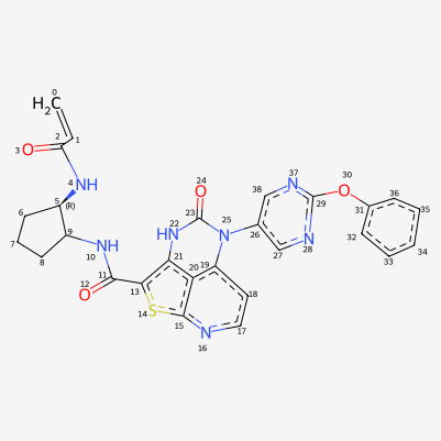 C=CC(=O)N[C@@H]1CCCC1NC(=O)c1sc2nccc3c2c1NC(=O)N3c1cnc(Oc2ccccc2)nc1